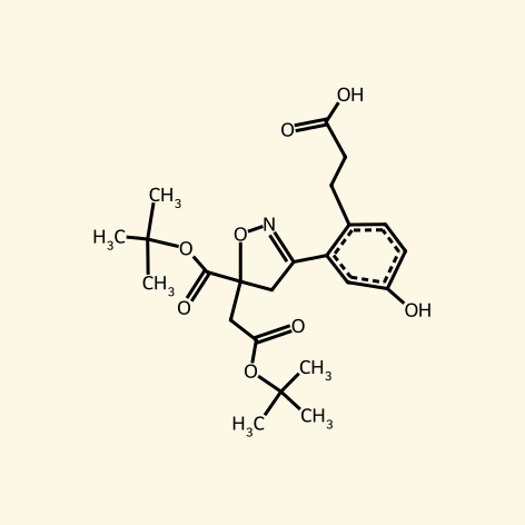 CC(C)(C)OC(=O)CC1(C(=O)OC(C)(C)C)CC(c2cc(O)ccc2CCC(=O)O)=NO1